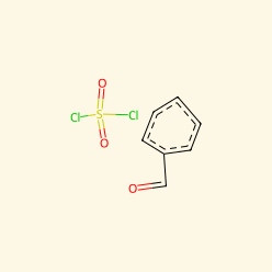 O=Cc1ccccc1.O=S(=O)(Cl)Cl